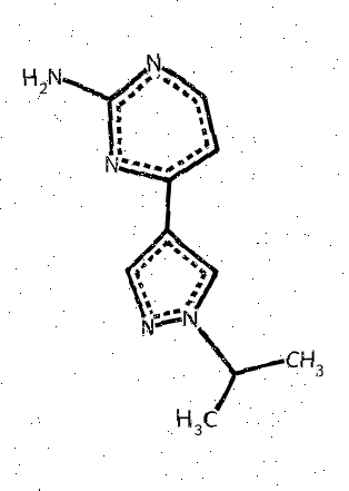 CC(C)n1cc(-c2ccnc(N)n2)cn1